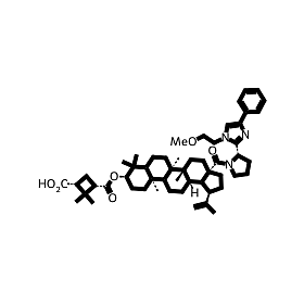 C=C(C)[C@@H]1CC[C@]2(C(=O)N3CCC[C@H]3c3nc(-c4ccccc4)cn3CCOC)CC[C@]3(C)[C@H](CCC4[C@@]5(C)CC[C@H](OC(=O)[C@H]6C[C@@H](C(=O)O)C6(C)C)C(C)(C)C5CC[C@]43C)C12